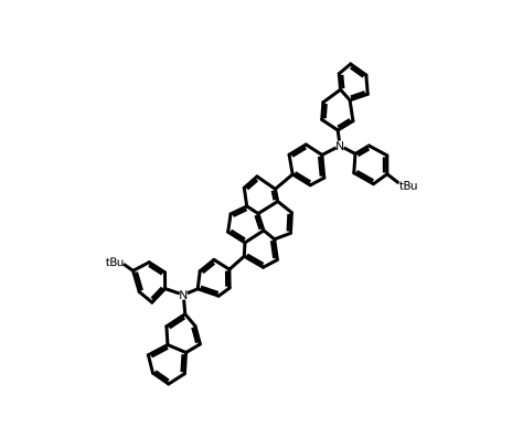 CC(C)(C)c1ccc(N(c2ccc(-c3ccc4ccc5c(-c6ccc(N(c7ccc(C(C)(C)C)cc7)c7ccc8ccccc8c7)cc6)ccc6ccc3c4c65)cc2)c2ccc3ccccc3c2)cc1